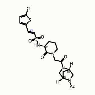 CC(=O)N1C[C@@H]2C[C@H]1CN2C(=O)CN1CCC[C@H](NS(=O)(=O)/C=C/c2ccc(Cl)s2)C1=O